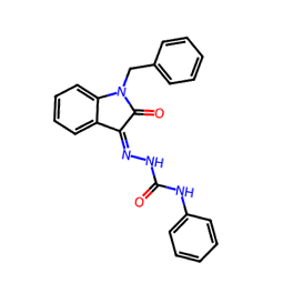 O=C(N/N=C1\C(=O)N(Cc2ccccc2)c2ccccc21)Nc1ccccc1